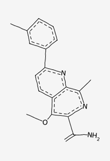 C=C(N)c1nc(C)c2nc(-c3cccc(C)c3)ccc2c1OC